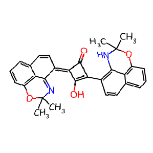 CC1(C)N=c2/c(=C3/C(=O)C(c4ccc5cccc6c5c4NC(C)(C)O6)=C3O)ccc3cccc(c23)O1